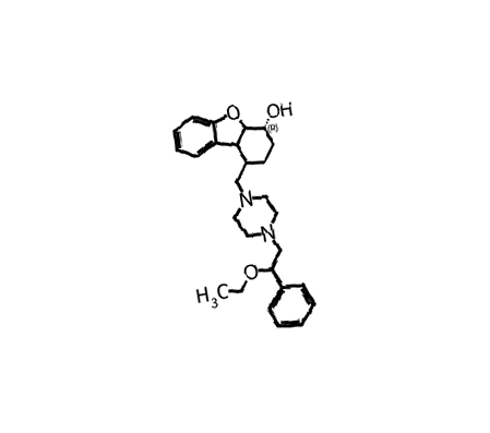 CCOC(CN1CCN(CC2CC[C@@H](O)C3Oc4ccccc4C23)CC1)c1ccccc1